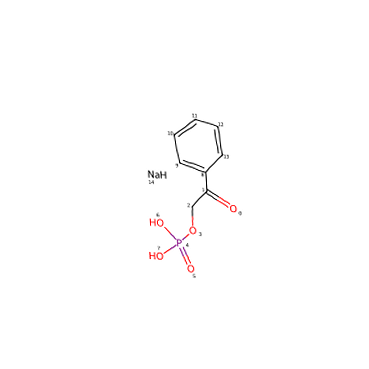 O=C(COP(=O)(O)O)c1ccccc1.[NaH]